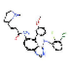 COc1cccc(-c2c(NC(=O)C=CC3CCCN3C)ccc3ncnc(Nc4cccc(Cl)c4F)c23)c1